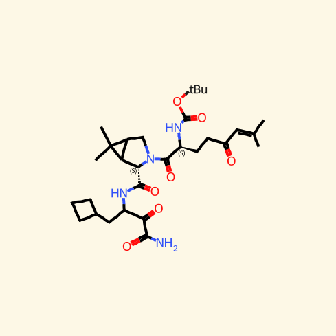 CC(C)=CC(=O)CC[C@H](NC(=O)OC(C)(C)C)C(=O)N1CC2C([C@H]1C(=O)NC(CC1CCC1)C(=O)C(N)=O)C2(C)C